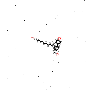 C[C@]12CC[C@@H]3c4ccc(O)cc4C[C@H](CCCCCCCCCCCO)[C@H]3[C@@H]1CC[C@@H]2O